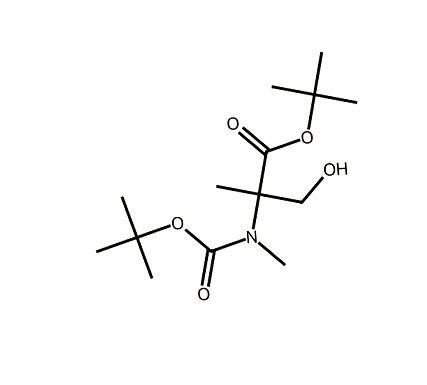 CN(C(=O)OC(C)(C)C)C(C)(CO)C(=O)OC(C)(C)C